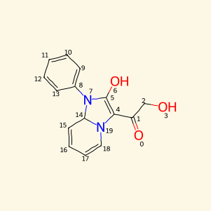 O=C(CO)C1=C(O)N(c2ccccc2)C2C=CC=CN12